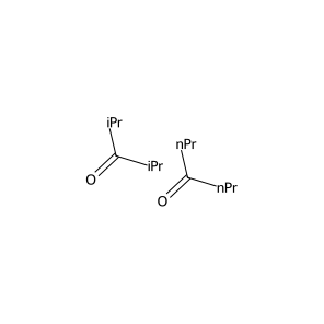 CC(C)C(=O)C(C)C.CCCC(=O)CCC